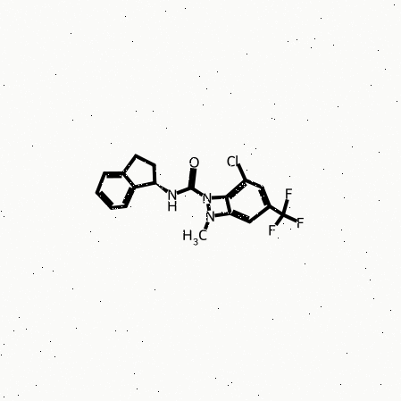 Cn1c2cc(C(F)(F)F)cc(Cl)c2n1C(=O)N[C@@H]1CCc2ccccc21